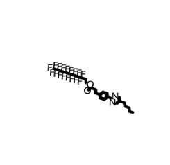 CCCCCc1cnc(-c2ccc(C=CC(=O)OCCC(F)(F)C(F)(F)C(F)(F)C(F)(F)C(F)(F)C(F)(F)C(F)(F)C(F)(F)F)cc2)nc1